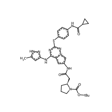 Cc1cc(Nc2nc(Sc3ccc(NC(=O)C4CC4)cc3)nn3cc(NC(=O)C[C@@H]4CCCN4C(=O)OC(C)(C)C)cc23)n[nH]1